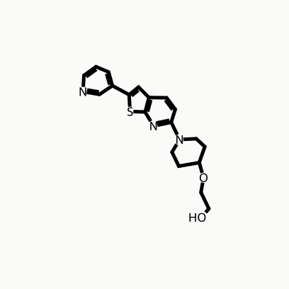 OCCOC1CCN(c2ccc3cc(-c4cccnc4)sc3n2)CC1